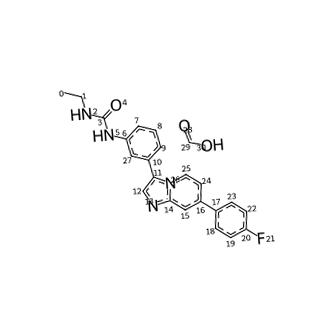 CCNC(=O)Nc1cccc(-c2cnc3cc(-c4ccc(F)cc4)ccn23)c1.O=CO